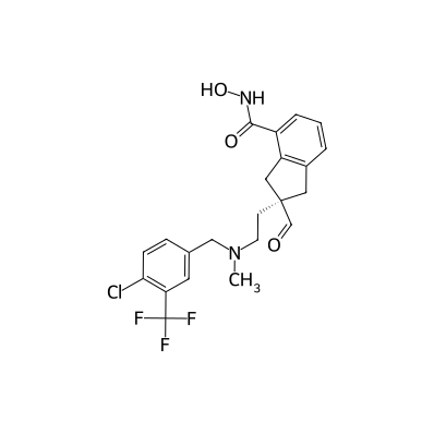 CN(CC[C@@]1(C=O)Cc2cccc(C(=O)NO)c2C1)Cc1ccc(Cl)c(C(F)(F)F)c1